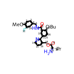 COc1ccc(CNC(=O)c2cc(-c3ncccc3COC(=O)[C@@H](N)C(C)C)ccc2OCC(C)C)cc1F